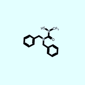 CN(S)C(=O)N(Cc1ccccc1)Cc1ccccc1